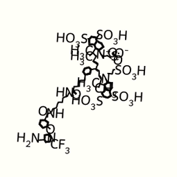 CC1(C)C(/C=C/C(=C/C=C2\N(CCCS(=O)(=O)O)c3ccc4c(S(=O)(=O)O)cc(S(=O)(=O)O)cc4c3C2(C)C)c2cccc(CCCCC(=O)NCCCCCCNC(=O)c3cccc(Oc4cc(CN)cc(C(F)(F)F)n4)c3)c2)=[N+](CCCS(=O)(=O)[O-])c2ccc3c(S(=O)(=O)O)cc(S(=O)(=O)O)cc3c21